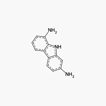 Nc1ccc2c(c1)[nH]c1c(N)cccc12